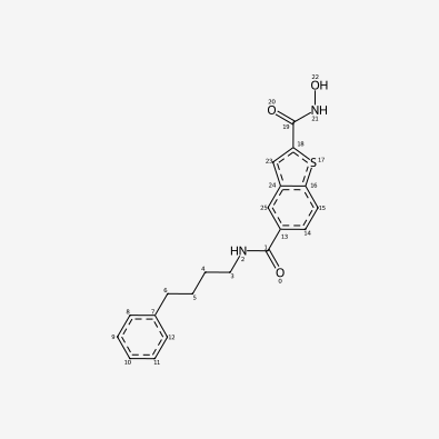 O=C(NCCCCc1ccccc1)c1ccc2sc(C(=O)NO)cc2c1